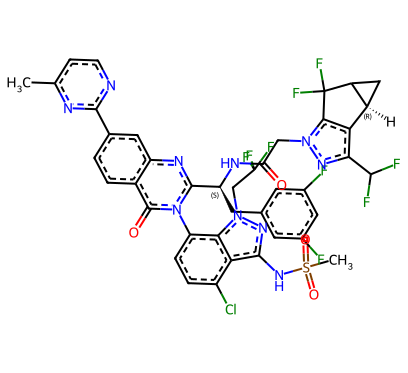 Cc1ccnc(-c2ccc3c(=O)n(-c4ccc(Cl)c5c(NS(C)(=O)=O)nn(CC(F)(F)F)c45)c([C@H](Cc4cc(F)cc(F)c4)NC(=O)Cn4nc(C(F)F)c5c4C(F)(F)C4C[C@@H]54)nc3c2)n1